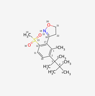 Cc1c(C(C)(C)C(C)(C)C)ccc(S(C)(=O)=O)c1C1=NOCC1